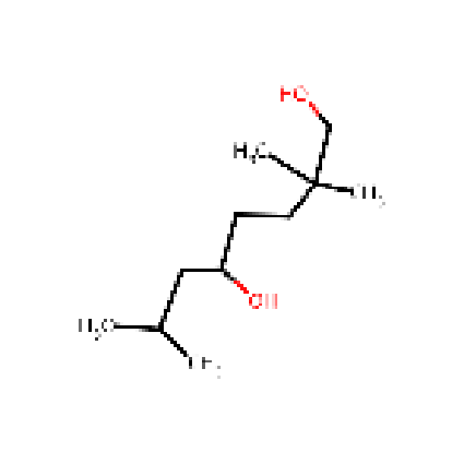 CC(C)CC(O)CCC(C)(C)CO